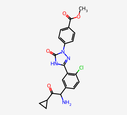 COC(=O)c1ccc(-n2nc(-c3cc(C(N)C(=O)C4CC4)ccc3Cl)[nH]c2=O)cc1